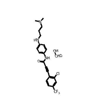 CN(C)CCCNc1ccc(NC(=O)C#Cc2ccc(C(F)(F)F)cc2Cl)cc1.O=CO